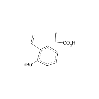 C=CC(=O)O.C=Cc1ccccc1CCCC